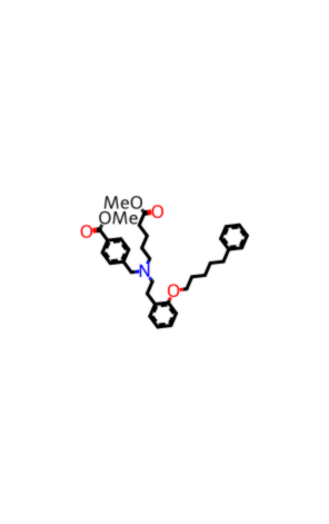 COC(=O)CCCCN(CCc1ccccc1OCCCCCc1ccccc1)Cc1ccc(C(=O)OC)cc1